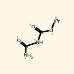 CC(C)OC(=O)NC(N)=O